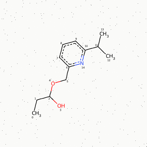 CCC(O)OCc1cccc(C(C)C)n1